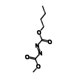 CCCCOC(=O)N=NC(=O)OC